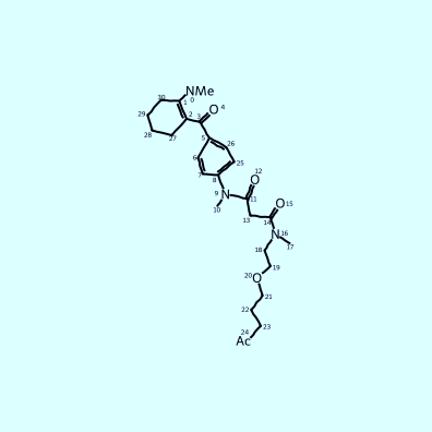 CNC1=C(C(=O)c2ccc(N(C)C(=O)CC(=O)N(C)CCOCCCC(C)=O)cc2)CCCC1